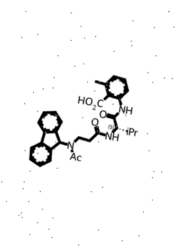 CC(=O)N(CCC(=O)N[C@H](C(=O)Nc1cccc(C)c1C(=O)O)C(C)C)C1c2ccccc2-c2ccccc21